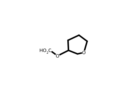 O=C(O)OC1CCCOC1